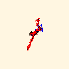 CC[C@H](C)[C@@H]([C@@H](CC(=O)N1CCC[C@H]1[C@H](OC)[C@@H](C)C(=O)N[C@@H](Cc1ccccc1)C(=O)Nc1ccc(CNC(=O)CCCCCN2C(=O)C=CC2=O)cc1)OC)N(C)C(=O)[C@@H](NC(=O)[C@@H]1[C@H]2CC[C@H](C2)N1C(=O)CCOCCOCCOCCOCCOCCOCCOCCOC)C(C)C